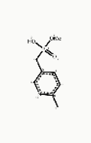 COP(=O)(O)Cc1ccc(C)nc1